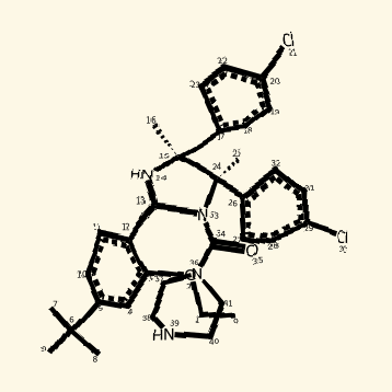 CCOc1cc(C(C)(C)C)ccc1C1N[C@@](C)(c2ccc(Cl)cc2)[C@@](C)(c2ccc(Cl)cc2)N1C(=O)N1CCNCC1